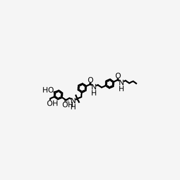 CCCCNC(=O)c1ccc(CCNC(=O)c2cccc(CC(C)(C)NC[C@H](O)c3ccc(O)c(CO)c3)c2)cc1